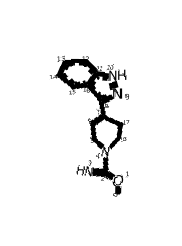 COC(=N)N1CCC(c2n[nH]c3ccccc23)CC1